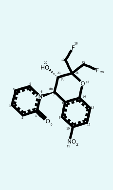 O=c1ccccn1[C@@H]1c2cc([N+](=O)[O-])ccc2OC(CF)(CF)[C@H]1O